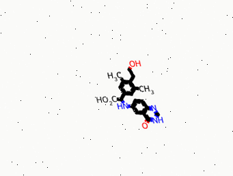 Cc1cc(C(Nc2ccc3nc[nH]c(=O)c3c2)C(=O)O)cc(C)c1CCO